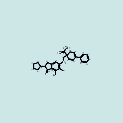 Cc1c(OCC2(C(=O)O)C=CC(c3ccccc3)=CC2)cc2c(c1C)C(=O)C(C1CCCC1)C2